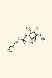 CCCCCCCCCCCCCCCC(=O)O[C@@H]1[C@@H](O)[C@H](O)[C@@H](CO)O[C@@H]1O